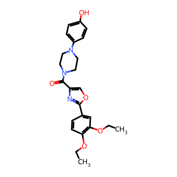 CCOc1ccc(-c2nc(C(=O)N3CCN(c4ccc(O)cc4)CC3)co2)cc1OCC